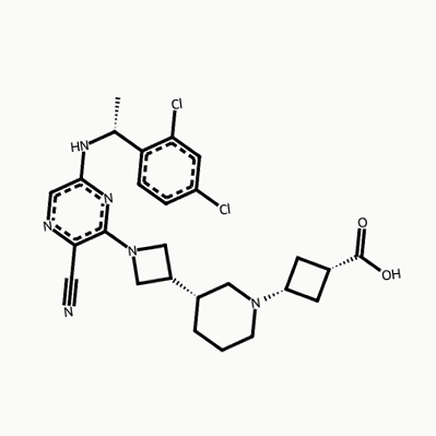 C[C@@H](Nc1cnc(C#N)c(N2CC([C@H]3CCCN([C@H]4C[C@@H](C(=O)O)C4)C3)C2)n1)c1ccc(Cl)cc1Cl